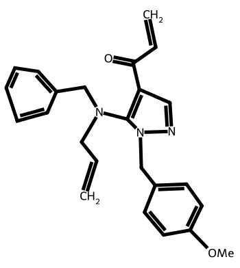 C=CCN(Cc1ccccc1)c1c(C(=O)C=C)cnn1Cc1ccc(OC)cc1